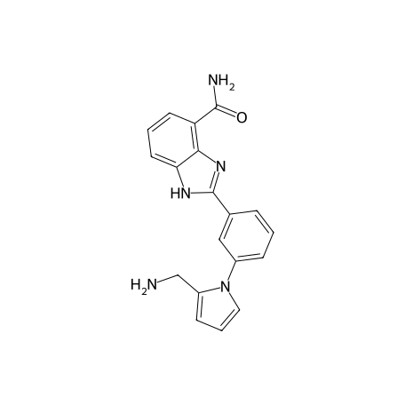 NCc1cccn1-c1cccc(-c2nc3c(C(N)=O)cccc3[nH]2)c1